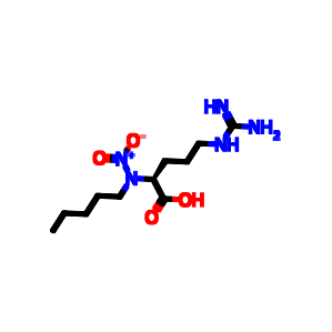 CCCCCN([C@@H](CCCNC(=N)N)C(=O)O)[N+](=O)[O-]